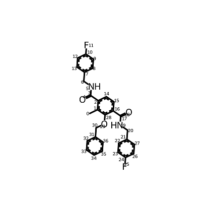 Cc1c(C(=O)NCc2ccc(F)cc2)ccc(C(=O)NCc2ccc(F)cc2)c1OCc1ccccc1